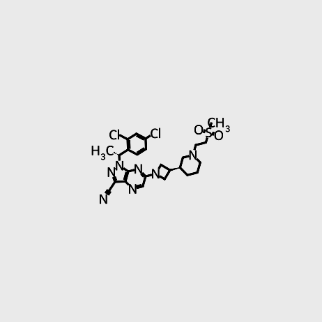 C[C@H](c1ccc(Cl)cc1Cl)n1nc(C#N)c2ncc(N3CC([C@@H]4CCCN(CCS(C)(=O)=O)C4)C3)nc21